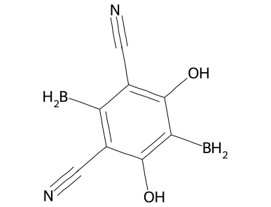 Bc1c(O)c(C#N)c(B)c(C#N)c1O